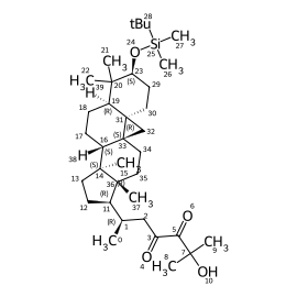 C[C@H](CC(=O)C(=O)C(C)(C)O)[C@H]1CC[C@@]2(C)[C@@H]3CC[C@H]4C(C)(C)[C@@H](O[Si](C)(C)C(C)(C)C)CC[C@@]45C[C@@]35CC[C@]12C